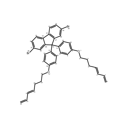 C=C/C=C/CCCOc1ccc(C2(c3ccc(OCCC/C=C/C=C)cc3)c3cc(Br)ccc3-c3ccc(Br)cc32)cc1